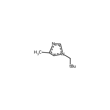 Cc1cn(CC(C)(C)C)cn1